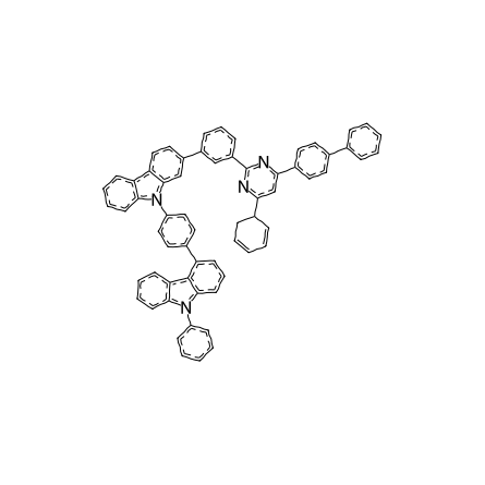 C1=CCC(c2cc(-c3ccc(-c4ccccc4)cc3)nc(-c3cccc(-c4ccc5c6ccccc6n(-c6ccc(-c7cccc8c7c7ccccc7n8-c7ccccc7)cc6)c5c4)c3)n2)C=C1